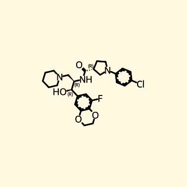 O=C(N[C@H](CN1CCCCC1)[C@H](O)c1cc(F)c2c(c1)OCCO2)[C@@H]1CCN(c2ccc(Cl)cc2)C1